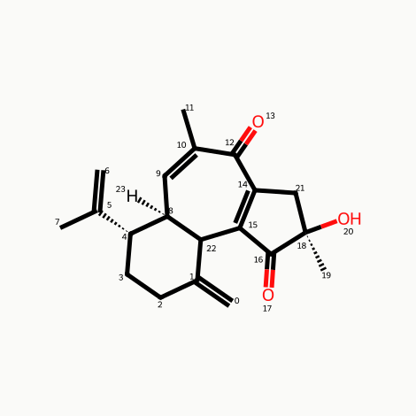 C=C1CC[C@H](C(=C)C)[C@H]2C=C(C)C(=O)C3=C(C(=O)[C@](C)(O)C3)C12